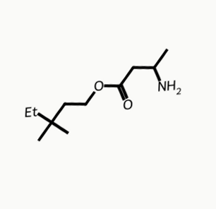 CCC(C)(C)CCOC(=O)CC(C)N